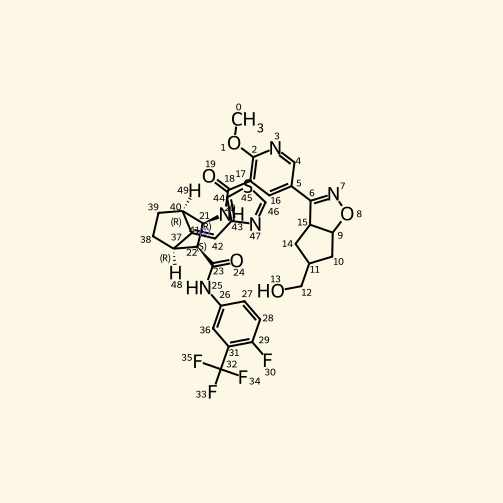 COc1ncc(C2=NOC3CC(CO)CC23)cc1C(=O)N[C@H]1[C@@H](C(=O)Nc2ccc(F)c(C(F)(F)F)c2)[C@H]2CC[C@@H]1/C2=C\c1cscn1